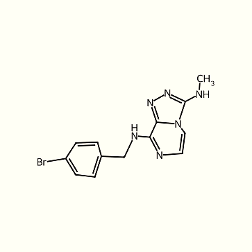 CNc1nnc2c(NCc3ccc(Br)cc3)nccn12